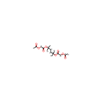 CC(=O)OCC(=O)OC(C)(C)CCC(C)(C)OC(=O)COC(C)=O